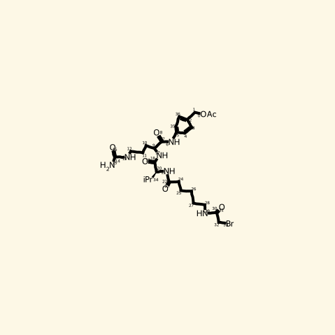 CC(=O)OCc1ccc(NC(=O)C(CCCNC(N)=O)NC(=O)[C@@H](NC(=O)CCCCCNC(=O)CBr)C(C)C)cc1